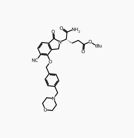 CC(C)(C)OC(=O)CC[C@@H](C(N)=O)N1Cc2c(ccc(C#N)c2OCc2ccc(CN3CCOCC3)cc2)C1=O